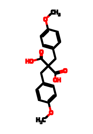 COc1ccc(CC(Cc2ccc(OC)cc2)(C(=O)O)C(=O)O)cc1